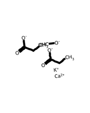 CCC(=O)[O-].CCC(=O)[O-].O=C[O-].[Ca+2].[K+]